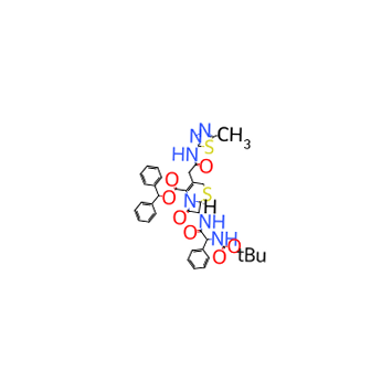 Cc1nnc(NC(=O)CC2=C(C(=O)OC(c3ccccc3)c3ccccc3)N3C(=O)[C@@H](NC(=O)C(NC(=O)OC(C)(C)C)c4ccccc4)[C@@H]3SC2)s1